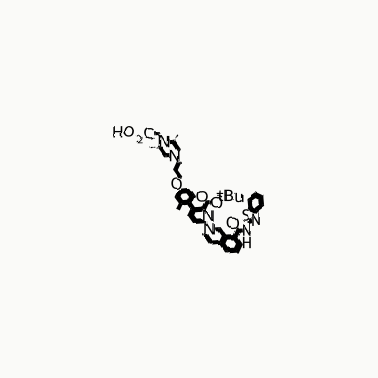 Cc1cc(OCCCN2C[C@@H](C)N(CC(=O)O)[C@@H](C)C2)ccc1-c1ccc(N2CCc3cccc(C(=O)Nc4nc5ccccc5s4)c3C2)nc1C(=O)OC(C)(C)C